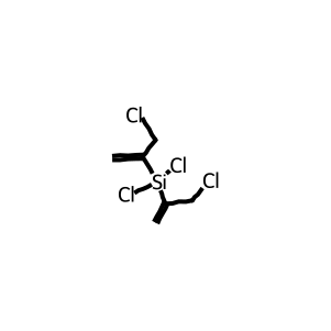 C=C(CCl)[Si](Cl)(Cl)C(=C)CCl